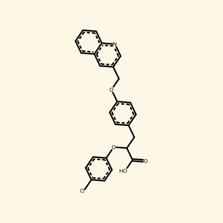 O=C(O)C(Cc1ccc(OCc2cnc3ccccc3c2)cc1)Oc1ccc(Cl)cc1